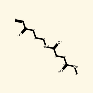 C=CC(=O)CCCNC(=O)CCC(=O)OC